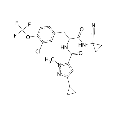 Cn1nc(C2CC2)cc1C(=O)NC(Cc1ccc(OC(F)(F)F)c(Cl)c1)C(=O)NC1(C#N)CC1